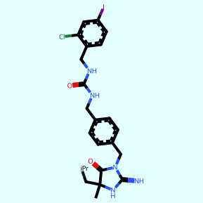 CC(C)CC1(C)NC(=N)N(Cc2ccc(CNC(=O)NCc3ccc(I)cc3Cl)cc2)C1=O